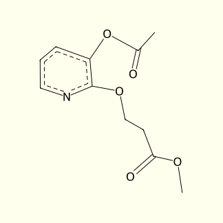 COC(=O)CCOc1ncccc1OC(C)=O